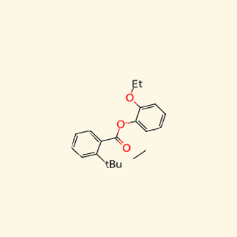 CC.CCOc1ccccc1OC(=O)c1ccccc1C(C)(C)C